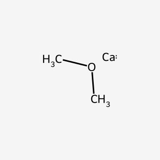 COC.[Ca]